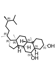 CC(C)[C@H](C)CC[C@@H](C)[C@H]1CC[C@H]2[C@@H]3C[C@H](O)[C@H]4C[C@@H](O)CC[C@]4(C)[C@H]3CC[C@]12C